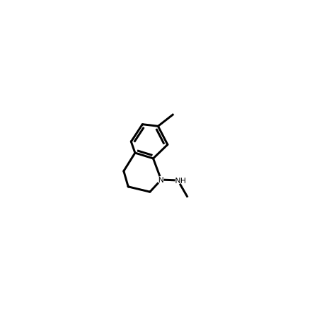 CNN1CCCc2ccc(C)cc21